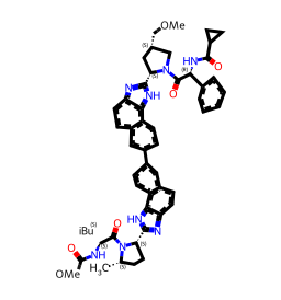 CC[C@H](C)[C@H](NC(=O)OC)C(=O)N1[C@@H](C)CC[C@H]1c1nc2ccc3cc(-c4ccc5c(ccc6nc([C@@H]7C[C@H](COC)CN7C(=O)[C@H](NC(=O)C7CC7)c7ccccc7)[nH]c65)c4)ccc3c2[nH]1